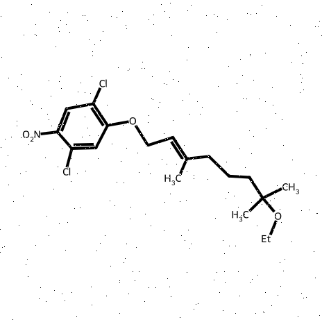 CCOC(C)(C)CCC/C(C)=C/COc1cc(Cl)c([N+](=O)[O-])cc1Cl